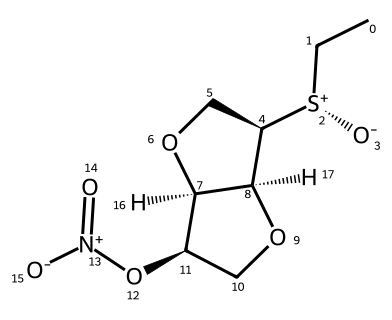 CC[S@+]([O-])[C@@H]1CO[C@H]2[C@@H]1OC[C@H]2O[N+](=O)[O-]